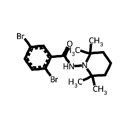 CC1(C)CCCC(C)(C)N1NC(=O)c1cc(Br)ccc1Br